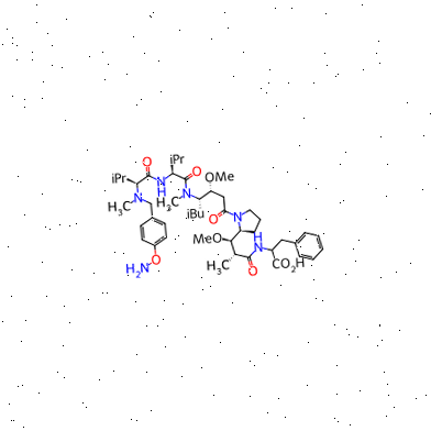 CCC(C)[C@@H]([C@@H](CC(=O)N1CCC[C@H]1[C@H](OC)[C@@H](C)C(=O)NC(Cc1ccccc1)C(=O)O)OC)N(C)C(=O)[C@@H](NC(=O)[C@H](C(C)C)N(C)Cc1ccc(ON)cc1)C(C)C